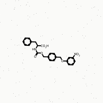 O=C(NC(Cc1ccccc1)C(=O)O)OCc1ccc(COc2cccc([N+](=O)[O-])c2)cc1